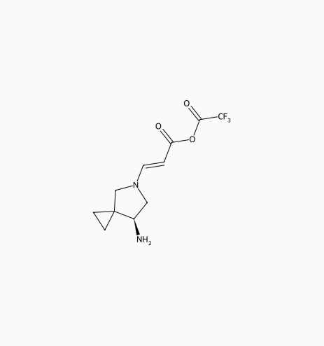 N[C@@H]1CN(C=CC(=O)OC(=O)C(F)(F)F)CC12CC2